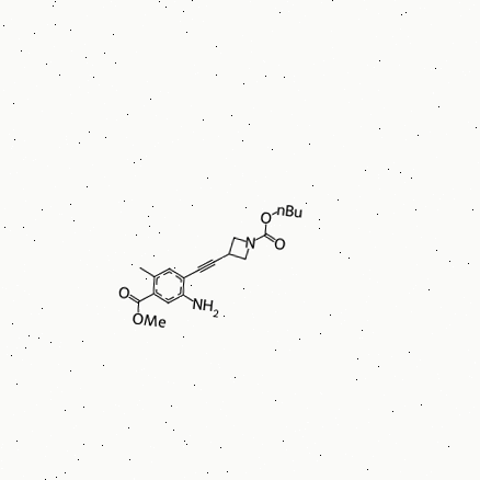 CCCCOC(=O)N1CC(C#Cc2cc(C)c(C(=O)OC)cc2N)C1